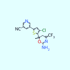 C[C@@]1(c2sc(-c3cncc(C#N)c3)cc2Cl)C[C@@H](C(F)(F)F)N=C(N)O1